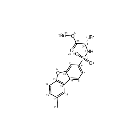 CC(C)[C@H](NS(=O)(=O)c1ccc2c(c1)oc1ccc(I)cc12)C(=O)OC(C)(C)C